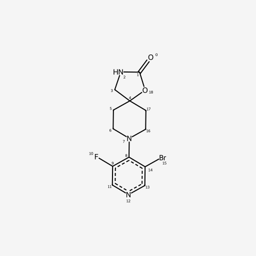 O=C1NCC2(CCN(c3c(F)cncc3Br)CC2)O1